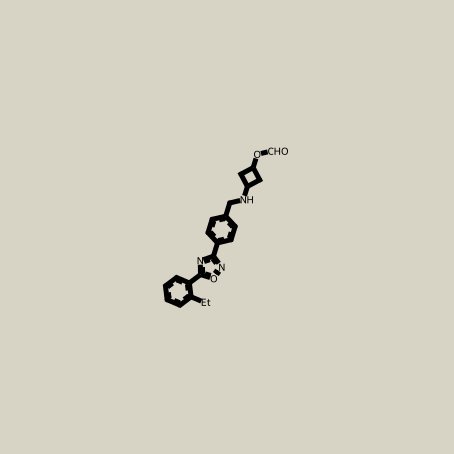 CCc1ccccc1-c1nc(-c2ccc(CNC3CC(OC=O)C3)cc2)no1